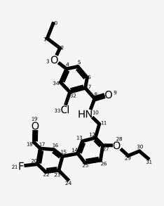 CCCOc1ccc(C(=O)NCc2cc(-c3cc(C=O)c(F)cc3C)ccc2OCCC)c(Cl)c1